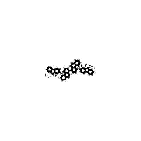 CC1(C)c2ccccc2-c2ccc(-n3c4cccc5ccc6c(-c7ccc8c9c7ccc7cccc(c79)n8-c7ccc8c(c7)C(C)(C)c7ccccc7-8)ccc3c6c54)cc21